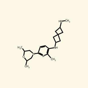 CNC1CC2(C1)CC(Nc1ccc(N3CC(C)OC(C)C3)nc1C)C2